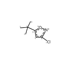 CC(C)(C)c1cc(Cl)no1